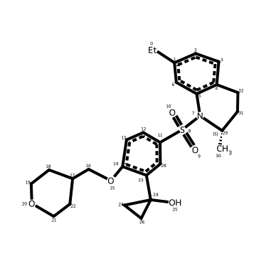 CCc1ccc2c(c1)N(S(=O)(=O)c1ccc(OCC3CCOCC3)c(C3(O)CC3)c1)[C@@H](C)CC2